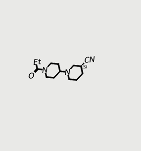 CCC(=O)N1CCC(N2CCC[C@H](C#N)C2)CC1